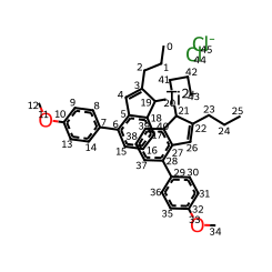 CCCC1=Cc2c(-c3ccc(OC)cc3)cccc2[CH]1[Ti+2]1([CH]2C(CCC)=Cc3c(-c4ccc(OC)cc4)cccc32)[CH2]C[CH2]1.[Cl-].[Cl-]